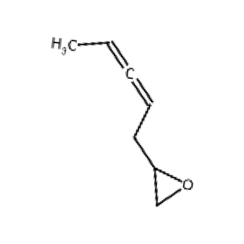 CC=C=CCC1CO1